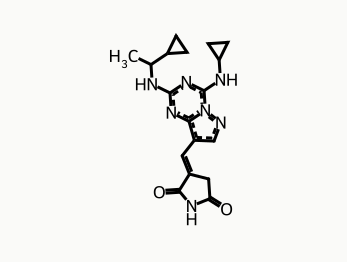 CC(Nc1nc(NC2CC2)n2ncc(/C=C3\CC(=O)NC3=O)c2n1)C1CC1